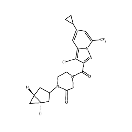 O=C(c1nn2c(C(F)(F)F)cc(C3CC3)cc2c1Cl)N1CCN(C2C[C@H]3C[C@@H]3C2)C(=O)C1